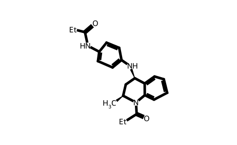 CCC(=O)Nc1ccc(N[C@@H]2C[C@H](C)N(C(=O)CC)c3ccccc32)cc1